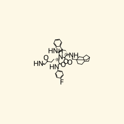 N=CC(=O)CC[C@H](NC(=O)[C@H](Cc1c[nH]c2ccccc12)NC(=O)C12CCC3CC(CC3C1)C2)C(=O)Nc1ccc(F)cc1